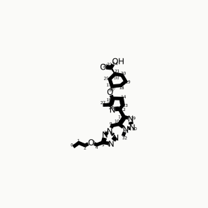 CCCOCc1nnn(Cc2c(-c3ccc(O[C@H]4CCC[C@H](C(=O)O)C4)c(C)n3)nnn2C)n1